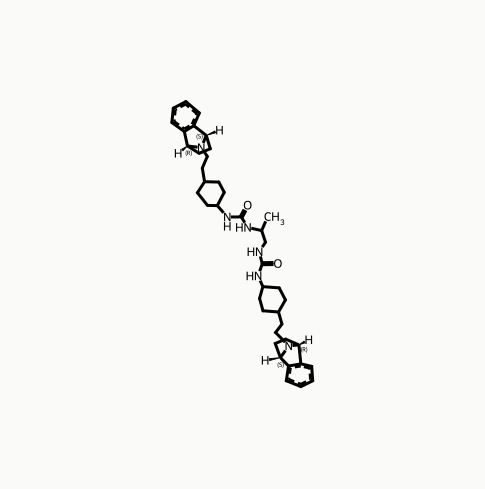 CC(CNC(=O)NC1CCC(CCN2[C@@H]3CC[C@H]2c2ccccc23)CC1)NC(=O)NC1CCC(CCN2[C@@H]3CC[C@H]2c2ccccc23)CC1